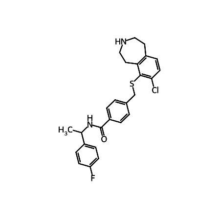 CC(NC(=O)c1ccc(CSc2c(Cl)ccc3c2CCNCC3)cc1)c1ccc(F)cc1